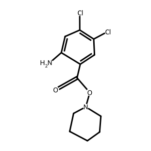 Nc1cc(Cl)c(Cl)cc1C(=O)ON1CCCCC1